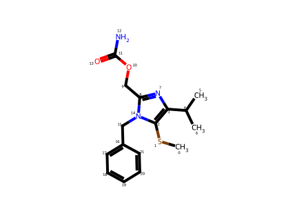 CSc1c(C(C)C)nc(COC(N)=O)n1Cc1ccccc1